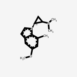 COc1cc(C)c2c(ccn2[C@H]2CC2N(C)C)c1